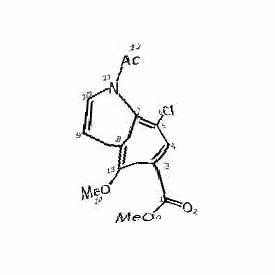 COC(=O)c1cc(Cl)c2c(ccn2C(C)=O)c1OC